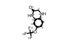 O=C1CNc2ccc(OC(F)(F)F)cc2N1